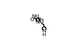 Cl.NC(=O)c1ccc(OCCC2CCNCC2)nc1